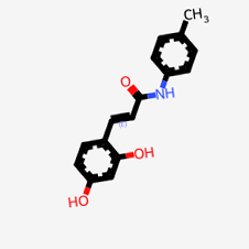 Cc1ccc(NC(=O)/C=C/c2ccc(O)cc2O)cc1